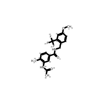 COc1ccc(CNC(=O)c2ccc(C)c(NC(C)=O)c2)c(C(F)(F)F)c1